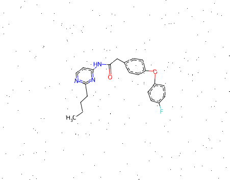 CCCCc1nccc(NC(=O)Cc2ccc(Oc3ccc(F)cc3)cc2)n1